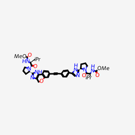 COC(=O)N[C@H](C(=O)N1CCC[C@H]1c1ncc(-c2ccc(C#Cc3ccc4c(c3)OCc3nc([C@@H]5CCCN5C(=O)[C@@H](NC(=O)OC)C(C)C)[nH]c3-4)cc2)[nH]1)C(C)C